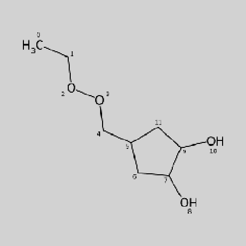 CCOOCC1CC(O)C(O)C1